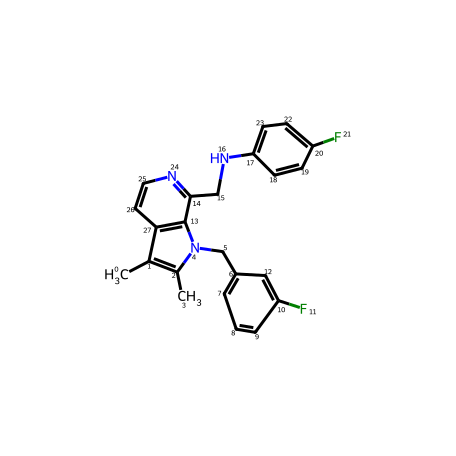 Cc1c(C)n(Cc2cccc(F)c2)c2c(CNc3ccc(F)cc3)nccc12